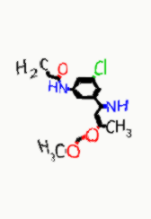 C=CC(=O)Nc1cc(Cl)cc(C(=N)/C=C(\C)OCOC)c1